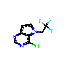 FC(F)(F)Cn1ccc2ncnc(Cl)c21